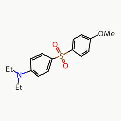 CCN(CC)c1ccc(S(=O)(=O)c2ccc(OC)cc2)cc1